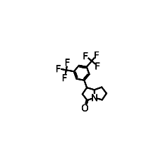 O=C1CC(c2cc(C(F)(F)F)cc(C(F)(F)F)c2)C2CCCN12